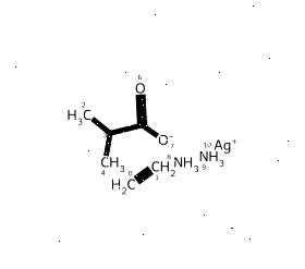 C=C.CC(C)C(=O)[O-].N.N.[Ag+]